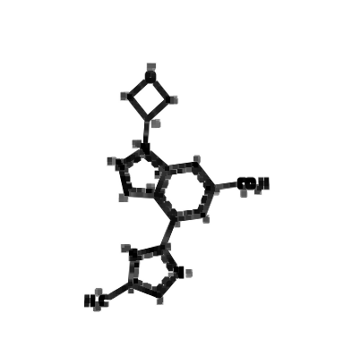 Cc1cnc(-c2cc(C(=O)O)cc3c2cnn3C2COC2)s1